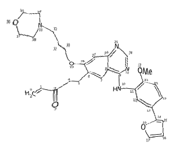 C=CC(=O)CCc1cc2c(Nc3cc(-c4ccco4)ccc3OC)ncnc2cc1OCCCN1CCOCC1